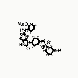 COc1ncccc1Nc1ncc2[nH]c(=O)n(C3CCC(CS(=O)(=O)N4CCCC(O)C4)CC3)c2n1